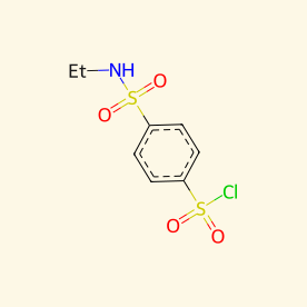 CCNS(=O)(=O)c1ccc(S(=O)(=O)Cl)cc1